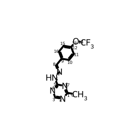 Cc1ncnc(NN=Cc2ccc(OC(F)(F)F)cc2)n1